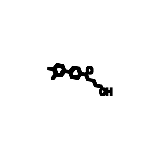 Cc1ccc(-c2ccc(C(=O)CCCCO)cc2)cc1C